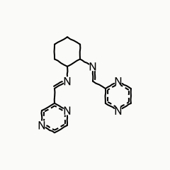 C(=NC1CCCCC1N=Cc1cnccn1)c1cnccn1